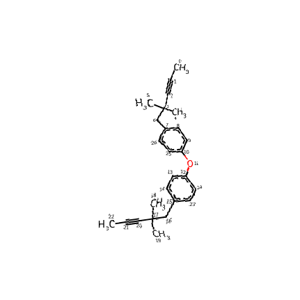 CC#CC(C)(C)Cc1ccc(Oc2ccc(CC(C)(C)C#CC)cc2)cc1